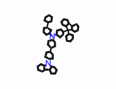 c1ccc(-c2cccc(N(c3ccc(-c4ccc(-n5c6ccccc6c6ccccc65)cc4)cc3)c3ccc(C4(c5ccccc5)c5ccccc5-c5ccccc54)cc3)c2)cc1